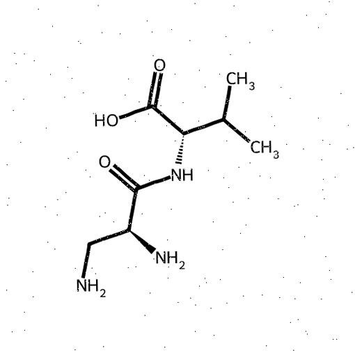 CC(C)[C@H](NC(=O)[C@@H](N)CN)C(=O)O